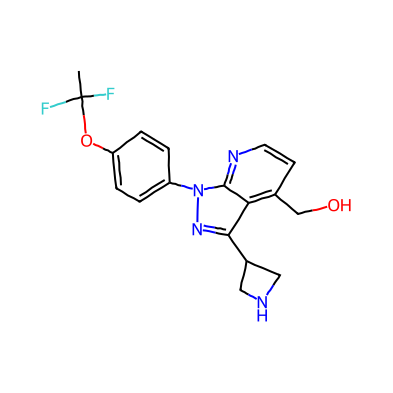 CC(F)(F)Oc1ccc(-n2nc(C3CNC3)c3c(CO)ccnc32)cc1